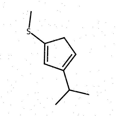 CSC1=CC(C(C)C)=CC1